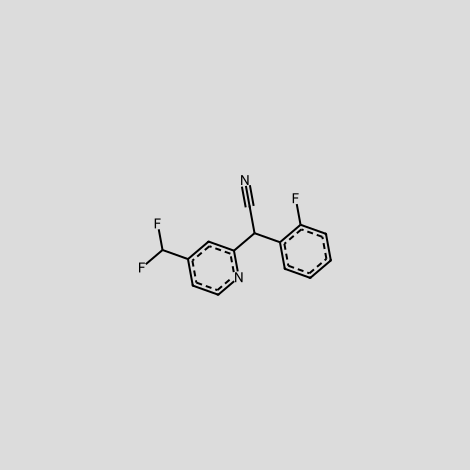 N#CC(c1cc(C(F)F)ccn1)c1ccccc1F